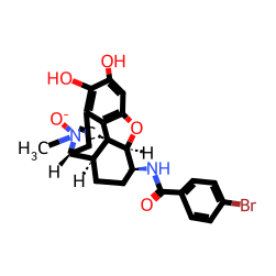 C[N+]1([O-])CC[C@@]23c4c5cc(O)c(O)c4C[C@@H]1[C@@H]2CC[C@H](NC(=O)c1ccc(Br)cc1)[C@@H]3O5